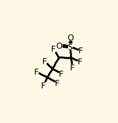 O=S(=O)(F)C(F)(F)C(F)C(F)(F)C(F)(F)F